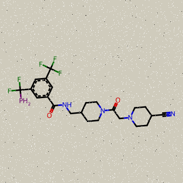 N#CC1CCN(CC(=O)N2CCC(CNC(=O)c3cc(C(F)(F)F)cc(C(F)(F)P)c3)CC2)CC1